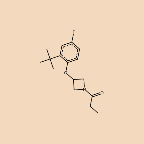 CCC(=O)N1CC(Oc2ccc(F)cc2C(C)(C)C)C1